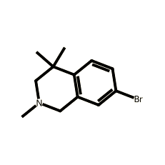 CN1Cc2cc(Br)ccc2C(C)(C)C1